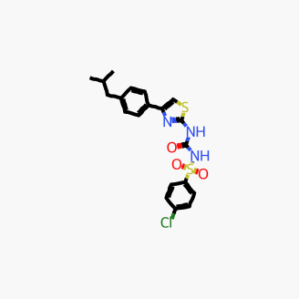 CC(C)Cc1ccc(-c2csc(NC(=O)NS(=O)(=O)c3ccc(Cl)cc3)n2)cc1